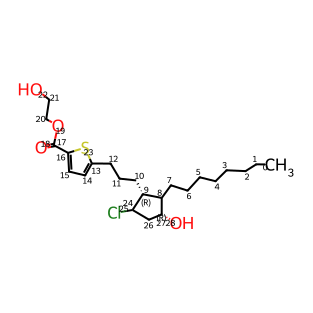 CCCCCCCCC1[C@@H](CCCc2ccc(C(=O)OCCO)s2)C(Cl)C[C@H]1O